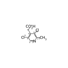 Cc1ncc(Cl)c(CC(=O)O)c1Cl